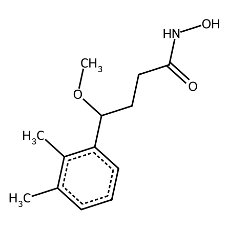 COC(CCC(=O)NO)c1cccc(C)c1C